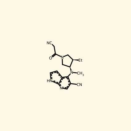 CC[C@@H]1CN(C(=O)CC#N)C[C@@H]1N(C)c1c(C#N)cnc2[nH]ccc12